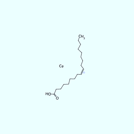 CCCCCCCC/C=C\CCCCCCCC(=O)O.[Ce]